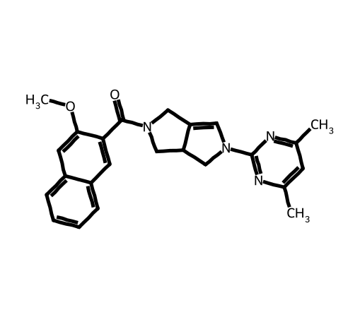 COc1cc2ccccc2cc1C(=O)N1CC2=CN(c3nc(C)cc(C)n3)CC2C1